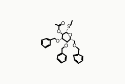 CCS[C@@H]1O[C@H](COCc2ccccc2)[C@H](OCc2ccccc2)[C@H](OCc2ccccc2)[C@H]1OC(C)=O